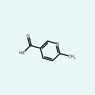 Cc1ccc(C(=O)S)cn1